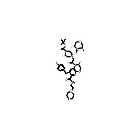 C[C@@H]1CN(CC(=O)N2c3cc(Cc4ccc(F)cc4)c(C(=O)NCCN4CCOCC4)nc3OC[C@@H]2C)[C@@H](CN2[C@H](C)COC[C@H]2C)CN1C(=O)OC(C)(C)C